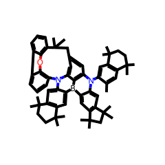 Cc1cc2c(cc1N1c3cc4c(cc3B3c5cc6c(cc5N5c7cc(cc1c73)CC(C)(C)c1cccc3c1oc1c5cccc13)C(C)(C)CCC6(C)C)C(C)(C)CC4(C)C)C(C)(C)CCC2(C)C